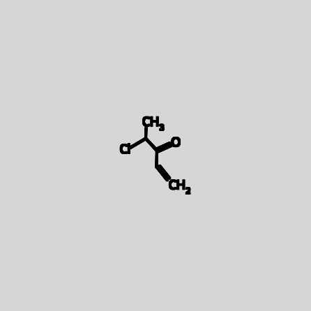 C=CC(=O)C(C)Cl